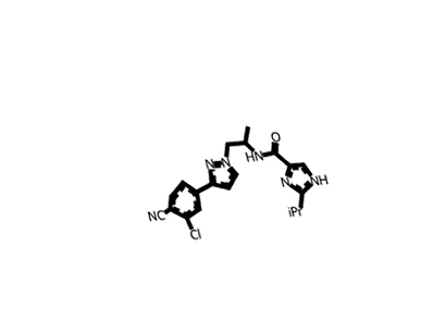 CC(Cn1ccc(-c2ccc(C#N)c(Cl)c2)n1)NC(=O)c1c[nH]c(C(C)C)n1